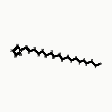 CCCCCCCCCCCCCCCCCC=Cn1cccc1